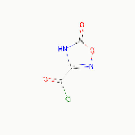 O=C(Cl)c1noc(=O)[nH]1